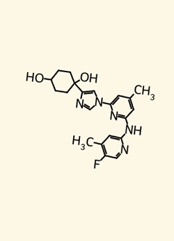 Cc1cc(Nc2cc(C)c(F)cn2)nc(-n2cnc(C3(O)CCC(O)CC3)c2)c1